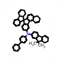 CC1(C)C2=C(C=CCC2)c2ccc(N(c3ccc(-c4ccccc4)cc3)c3ccc4c(c3)-c3c(ccc5c3C=CCC5)C43c4ccccc4C4C=CCCC43)cc21